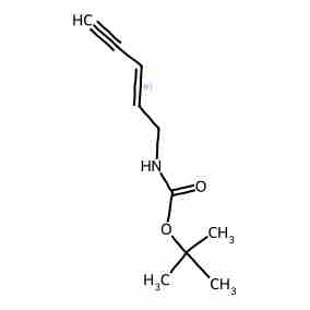 C#C/C=C/CNC(=O)OC(C)(C)C